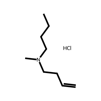 C=CCCN(C)CCCC.Cl